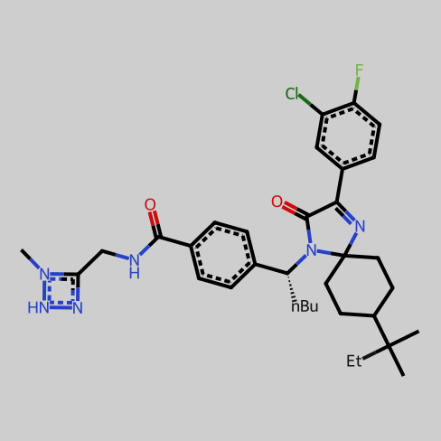 CCCC[C@H](c1ccc(C(=O)NCc2n[nH]n2C)cc1)N1C(=O)C(c2ccc(F)c(Cl)c2)=NC12CCC(C(C)(C)CC)CC2